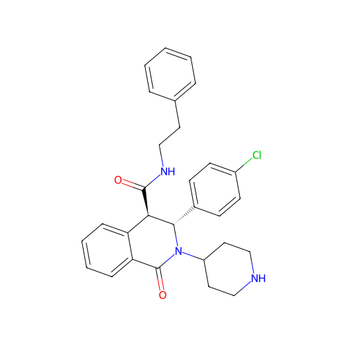 O=C(NCCc1ccccc1)[C@@H]1c2ccccc2C(=O)N(C2CCNCC2)[C@H]1c1ccc(Cl)cc1